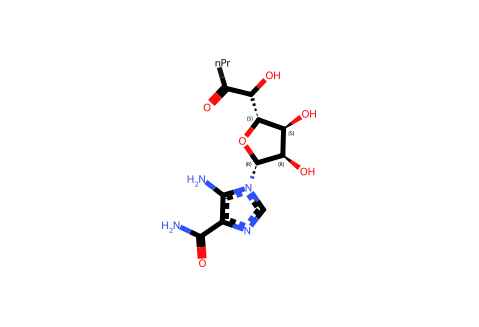 CCCC(=O)C(O)[C@H]1O[C@@H](n2cnc(C(N)=O)c2N)[C@H](O)[C@@H]1O